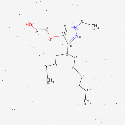 CCCCCCC(CCCC)c1nn(CC)cc1OCCO